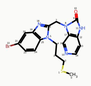 CSCCCn1c(Cn2c(=O)[nH]c3ccncc32)nc2cc(Br)ccc21